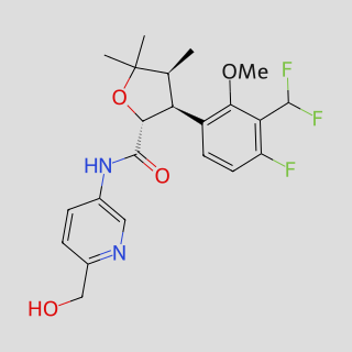 COc1c([C@H]2[C@H](C(=O)Nc3ccc(CO)nc3)OC(C)(C)[C@H]2C)ccc(F)c1C(F)F